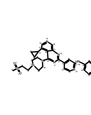 CS(=O)(=O)CCN1CCN(c2nc(-c3ccnc(Nc4ccccc4)c3)nc3cncc(C4CC4)c23)CC1